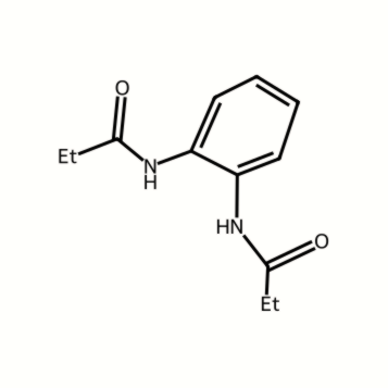 CCC(=O)Nc1ccccc1NC(=O)CC